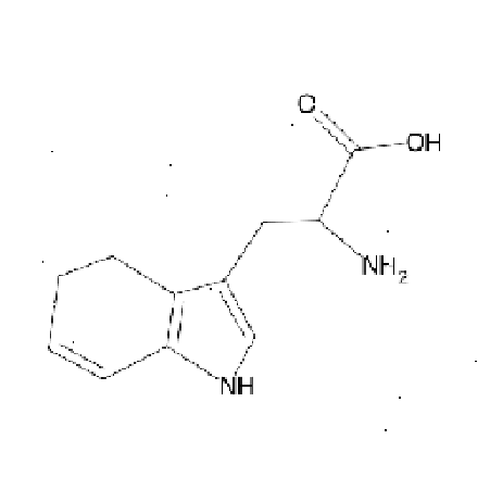 NC(Cc1c[nH]c2c1CCC=C2)C(=O)O